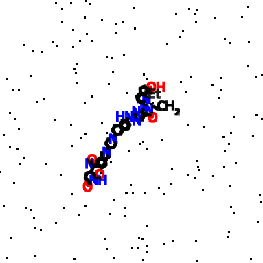 C=CCn1c(=O)c2cnc(Nc3ccc4c(c3)CCC(N3CCC(N5Cc6ccc7c(C8CCC(=O)NC8=O)noc7c6C5)CC3)C4)nc2n1-c1ccc2c(n1)[C@@](O)(CC)CC2